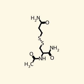 CC(=O)NC(CSSCCC(N)=O)C(N)=O